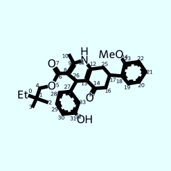 CCC(C)(C)COC(=O)C1=C(C)NC2=C(C(=O)CC(c3ccccc3OC)C2)C1c1cccc(O)c1